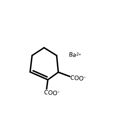 O=C([O-])C1=CCCCC1C(=O)[O-].[Ba+2]